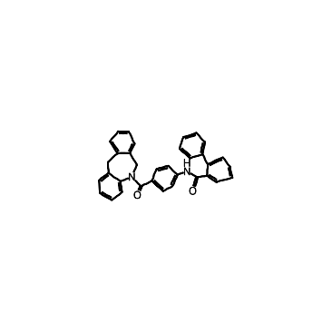 O=C(Nc1ccc(C(=O)N2Cc3ccccc3Cc3ccccc32)cc1)c1ccccc1-c1ccccc1